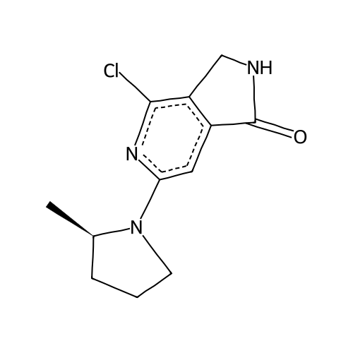 C[C@@H]1CCCN1c1cc2c(c(Cl)n1)CNC2=O